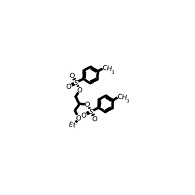 CCOCC(COS(=O)(=O)c1ccc(C)cc1)OS(=O)(=O)c1ccc(C)cc1